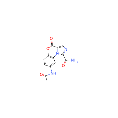 CC(=O)Nc1ccc2oc(=O)c3cnc(C(N)=O)n3c2c1